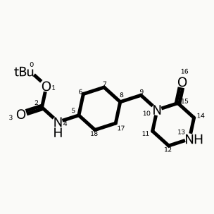 CC(C)(C)OC(=O)NC1CCC(CN2CCNCC2=O)CC1